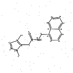 Cc1cnn(C)c1CC(=O)NCc1cccc2ccccc12